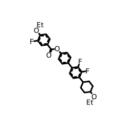 CCOc1ccc(C(=O)Oc2ccc(-c3ccc(C4CCC(OCC)CC4)c(F)c3F)cc2)cc1F